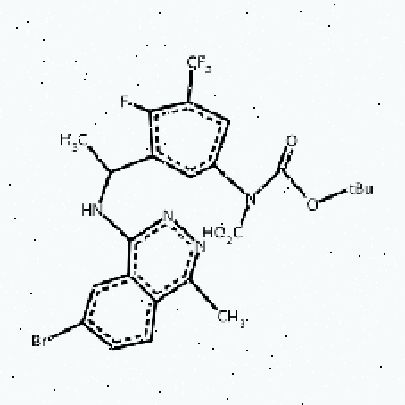 Cc1nnc(NC(C)c2cc(N(C(=O)O)C(=O)OC(C)(C)C)cc(C(F)(F)F)c2F)c2cc(Br)ccc12